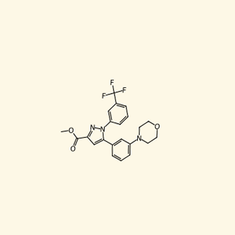 COC(=O)c1cc(-c2cccc(N3CCOCC3)c2)n(-c2cccc(C(F)(F)F)c2)n1